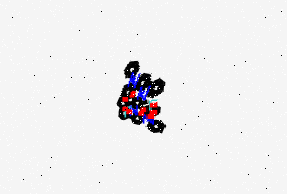 Cc1c(-c2ccccc2F)c(-n2c3ccccc3c3ccc4c(c5ccccc5n4-c4ccccc4)c32)c(-c2ccccc2F)c(C)c1-n1c2ccccc2c2ccc3c(c4ccccc4n3-c3ccccc3)c21